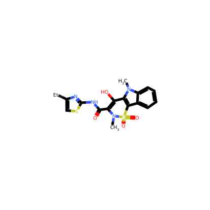 CCc1csc(NC(=O)C2=C(O)c3c(c4ccccc4n3C)S(=O)(=O)N2C)n1